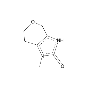 Cn1c2c([nH]c1=O)COCC2